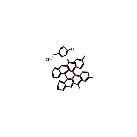 Cc1ccc(C(C)C)cc1.Cc1ccc(P(c2ccc(C)cc2)c2ccc3ccccc3c2-c2c(P(c3ccc(C)cc3)c3ccc(C)cc3)ccc3ccccc23)cc1.[Cl-].[Cl-].[Ru+2]